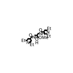 CCc1cc(C(=O)NCC(CNC(=O)c2cc(CC)nc(CC)c2)C(O)OC)cc(CC)n1